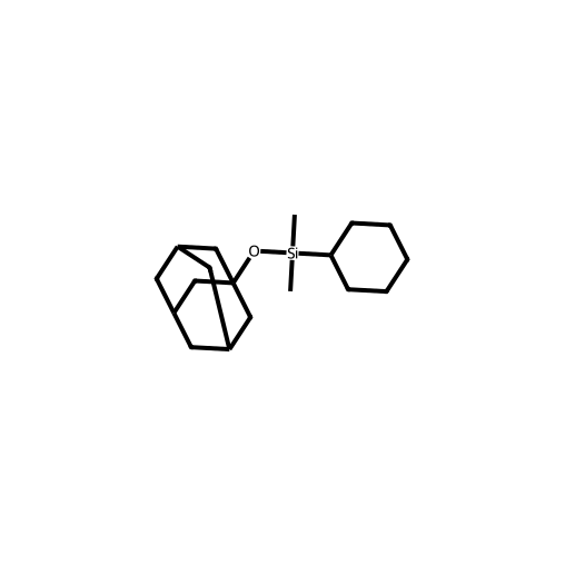 C[Si](C)(OC12CC3CC(CC(C3)C1)C2)C1CCCCC1